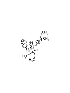 CCCCN(CCCC)C(=O)c1nn2c(-c3cc(OC)ccc3OC)nnc2/c1=C\c1ccc(N(CC)CCCC)s1